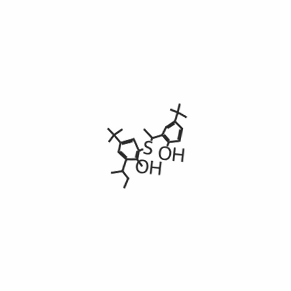 CCC(C)c1cc(C(C)(C)C)cc(SC(C)c2cc(C(C)(C)C)ccc2O)c1O